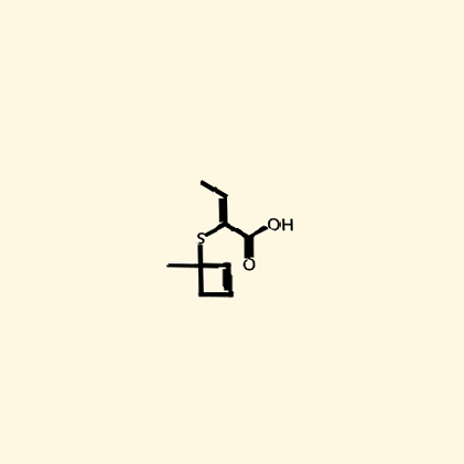 C/C=C(\SC1(C)C=CC1)C(=O)O